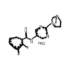 Cl.O=C(Nc1cnc(N2CCN3CCC2CC3)nc1)c1cccc(F)c1F